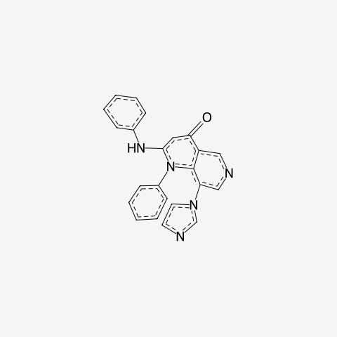 O=c1cc(Nc2ccccc2)n(-c2ccccc2)c2c(-n3ccnc3)cncc12